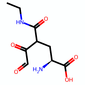 CCNC(=O)C(C[C@H](N)C(=O)O)C(=O)C=O